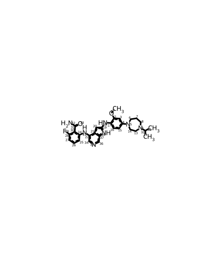 COc1cc(N2CCCN(C(C)C)CC2)ccc1Nc1cc2c(Nc3cccc(F)c3C(N)=O)cncc2[nH]1